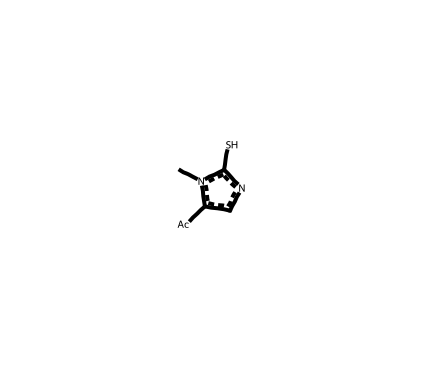 CC(=O)c1cnc(S)n1C